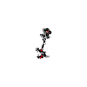 COc1nc(Nc2cc(S(C)(=O)=O)ccc2N[C@H](c2ccccc2Cl)c2cccc3c2OC(F)(F)O3)nc(N2CCN(CCOCCOCCOc3cc(-c4scnc4C)ccc3CNC(=O)C3C[C@@H](O)CN3C(=O)C(CC(=O)C3(F)CC3)C(C)(C)C)CC2)n1